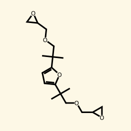 CC(C)(COCC1CO1)c1ccc(C(C)(C)COCC2CO2)o1